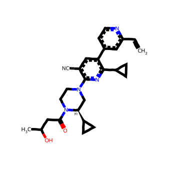 C=Cc1cc(-c2cc(C#N)c(N3CCN(C(=O)CC(C)O)[C@H](C4CC4)C3)nc2C2CC2)ccn1